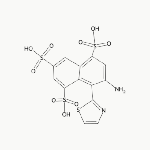 Nc1cc(S(=O)(=O)O)c2cc(S(=O)(=O)O)cc(S(=O)(=O)O)c2c1-c1nccs1